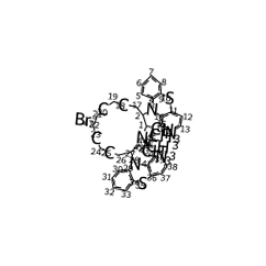 CC1C(N2c3ccccc3Sc3ccncc32)CCCCCCCCCCC(N2c3ccccc3Sc3ccncc32)C(C)[N+]1(C)C.[Br-]